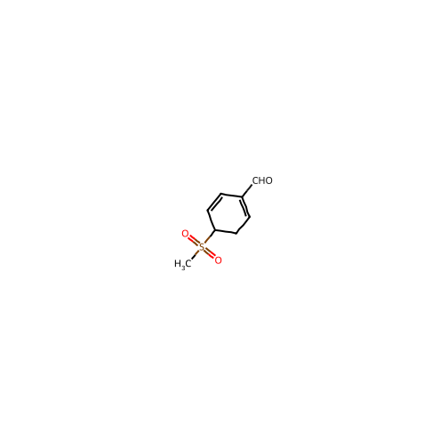 CS(=O)(=O)C1C=CC(C=O)=CC1